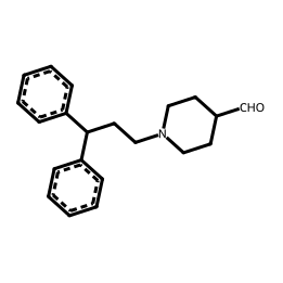 O=CC1CCN(CCC(c2ccccc2)c2ccccc2)CC1